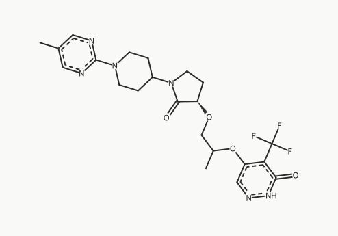 Cc1cnc(N2CCC(N3CC[C@@H](OCC(C)Oc4cn[nH]c(=O)c4C(F)(F)F)C3=O)CC2)nc1